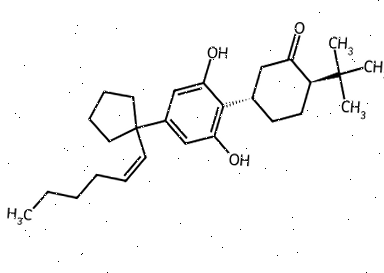 CCCC/C=C\C1(c2cc(O)c([C@H]3CC[C@H](C(C)(C)C)C(=O)C3)c(O)c2)CCCC1